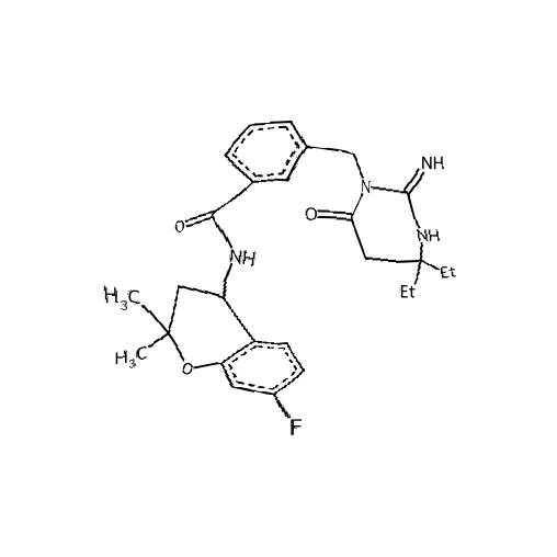 CCC1(CC)CC(=O)N(Cc2cccc(C(=O)NC3CC(C)(C)Oc4cc(F)ccc43)c2)C(=N)N1